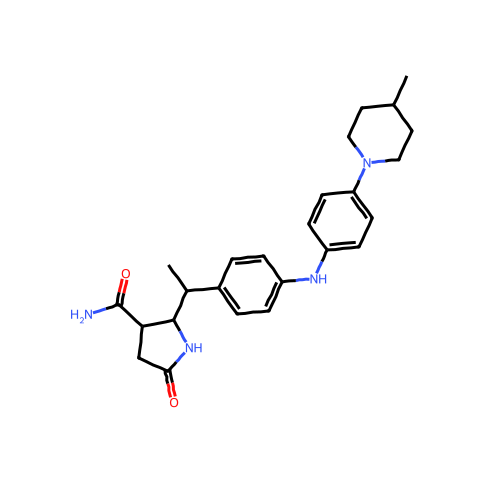 CC1CCN(c2ccc(Nc3ccc(C(C)C4NC(=O)CC4C(N)=O)cc3)cc2)CC1